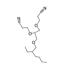 CCCCC(CC)COCC(COCCC#N)OCCC#N